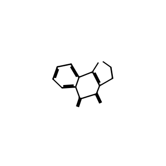 C=C1C(=O)C2=C(OCC2)c2ccccc21